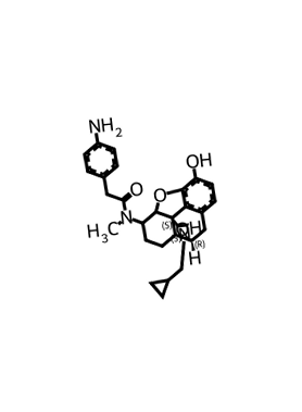 CN(C(=O)Cc1ccc(N)cc1)C1CC[C@@]2(O)[C@H]3Cc4ccc(O)c5c4[C@@]2(CCN3CC2CC2)C1O5